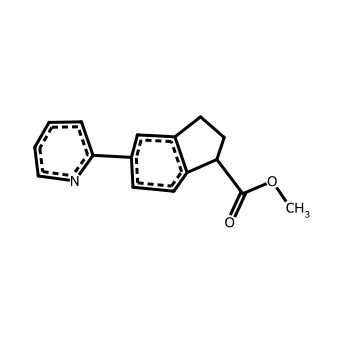 COC(=O)C1CCc2cc(-c3ccccn3)ccc21